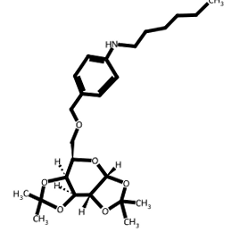 CCCCCCNc1ccc(COC[C@H]2O[C@@H]3OC(C)(C)O[C@@H]3[C@H]3OC(C)(C)O[C@H]32)cc1